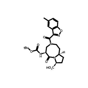 Cc1ccc2onc(C(=O)N3CC[C@H]4CC[C@@H](C(=O)O)N4C(=O)[C@@H](NC(=O)OC(C)(C)C)C3)c2c1